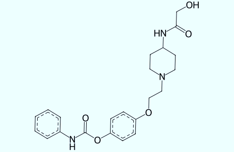 O=C(CO)NC1CCN(CCOc2ccc(OC(=O)Nc3ccccc3)cc2)CC1